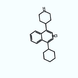 Cl.c1ccc2c(C3CCNCC3)ccc(C3CCCCC3)c2c1